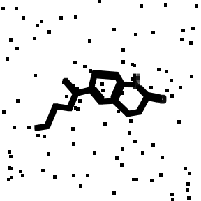 CCCCC(C)c1ccc2c(c1)CCC(=O)N2